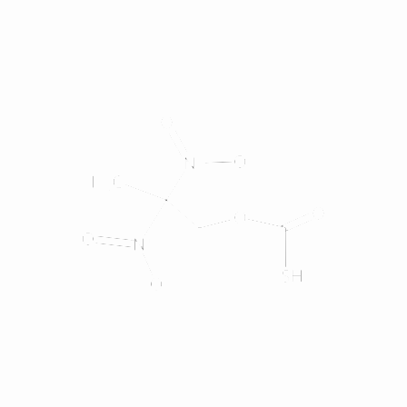 CC(COC(=O)S)([N+](=O)[O-])[N+](=O)[O-]